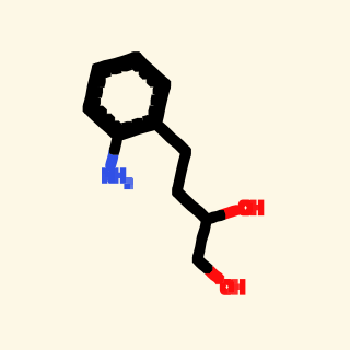 Nc1ccccc1CCC(O)CO